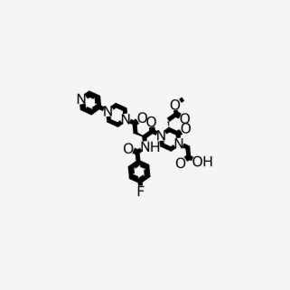 COC(=O)C[C@@H]1C(=O)N(CC(=O)O)CCN1C(=O)[C@H](CC(=O)N1CCN(c2ccncc2)CC1)NC(=O)c1ccc(F)cc1